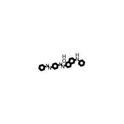 Oc1c(N=Nc2ccc(N=Nc3ccccc3)cc2)ccc2cc(Nc3ccccc3)ccc12